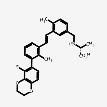 Cc1ccc(CN[C@H](C)C(=O)O)cc1/C=C/c1cccc(-c2ccc3c(c2F)OCCO3)c1C